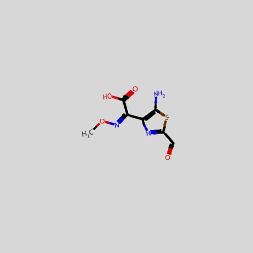 CON=C(C(=O)O)c1nc(C=O)sc1N